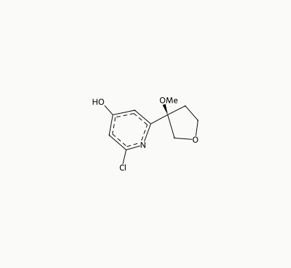 CO[C@@]1(c2cc(O)cc(Cl)n2)CCOC1